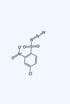 [N-]=[N+]=NS(=O)(=O)c1ccc(Cl)cc1[N+](=O)[O-]